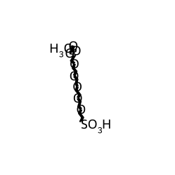 CS(=O)(=O)OCCOCCOCCOCCOCCOCCCS(=O)(=O)O